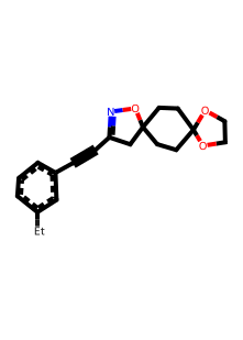 CCc1cccc(C#CC2=NOC3(CCC4(CC3)OCCO4)C2)c1